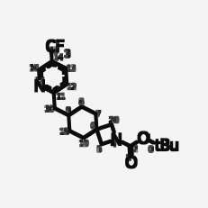 CC(C)(C)OC(=O)N1CC2(CCC(Cc3ccc(C(F)(F)F)cn3)CC2)C1